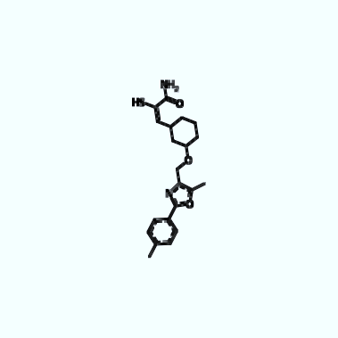 Cc1ccc(-c2nc(COC3CCCC(/C=C(/S)C(N)=O)C3)c(C)o2)cc1